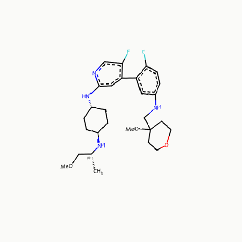 COC[C@@H](C)N[C@H]1CC[C@H](Nc2cc(-c3cc(NCC4(OC)CCOCC4)ccc3F)c(F)cn2)CC1